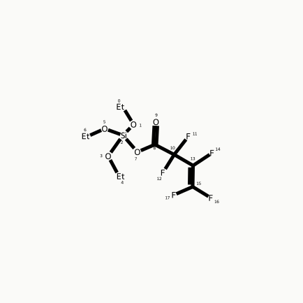 CCO[Si](OCC)(OCC)OC(=O)C(F)(F)C(F)=C(F)F